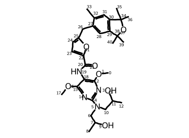 COc1nc(N(CC(C)O)CC(C)O)nc(OC)c1NC(=O)c1ccc(Cc2cc3c(cc2C)C(C)(C)OC3(C)C)o1